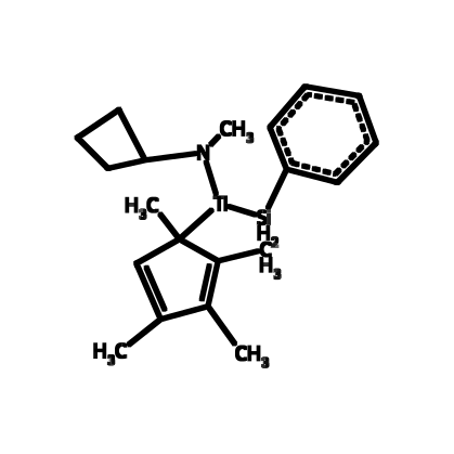 CC1=C[C](C)([Ti]([SiH2]c2ccccc2)[N](C)C2CCC2)C(C)=C1C